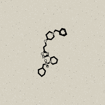 O=S(=O)(CC1CCCCC1)N1CCCC[C@H]1c1noc(CCOC2CCN(Cc3ccccc3)CC2)n1